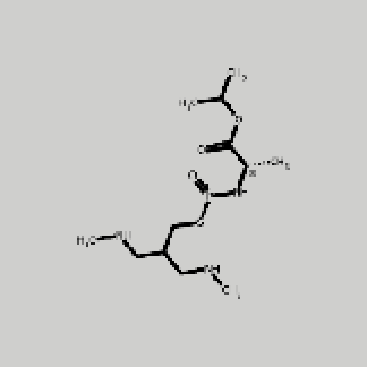 CNCC(CNC)CS[PH](=O)N[C@@H](C)C(=O)OC(C)C